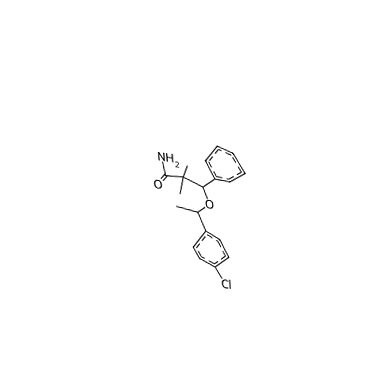 CC(OC(c1ccccc1)C(C)(C)C(N)=O)c1ccc(Cl)cc1